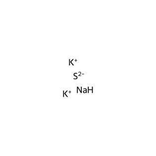 [K+].[K+].[NaH].[S-2]